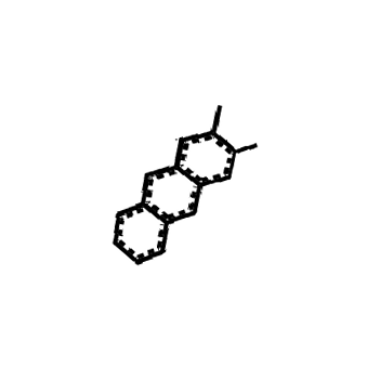 Cc1[c]c2cc3ccccc3cc2cc1C